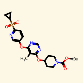 Cc1c(Oc2ccc(S(=O)(=O)C3CC3)nc2)ncnc1OC1CCN(C(=O)OC(C)(C)C)CC1